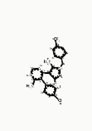 Cc1nn(Cc2ccc(C(F)(F)F)cc2)c(C)c1-c1ncnc(N)c1-c1ccc(Cl)cc1